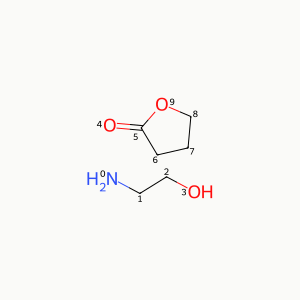 NCCO.O=C1CCCO1